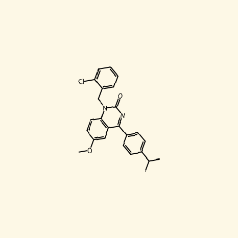 COc1ccc2c(c1)c(-c1ccc(C(C)C)cc1)nc(=O)n2Cc1ccccc1Cl